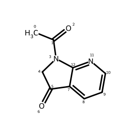 CC(=O)N1CC(=O)c2cccnc21